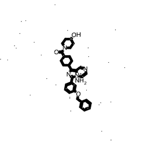 N[N+]12C=CN=CC1=C(C1CCC(C(=O)N3CCC(O)CC3)CC1)N=C2c1cccc(OCc2ccccc2)c1